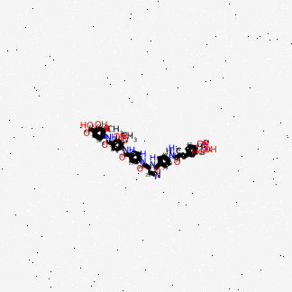 COc1c(NC(=O)c2ccc(NC(=O)c3ccc(NC(=O)[C@H](CC#N)NC(=O)c4ccc(NC(=O)/C(C)=C/c5ccc(OP(=O)(O)O)cc5)cc4)cc3)c(OC)c2O)ccc(C(=O)O)c1O